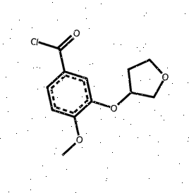 COc1ccc(C(=O)Cl)cc1OC1CCOC1